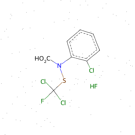 F.O=C(O)N(SC(F)(Cl)Cl)c1ccccc1Cl